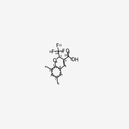 Cc1cc(C)c2c(c1)C=C(C(=O)O)[C@H](C(F)(F)F)O2